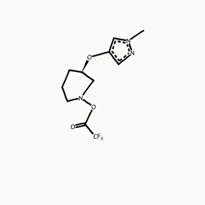 Cn1cc(O[C@@H]2CCCN(OC(=O)C(F)(F)F)C2)cn1